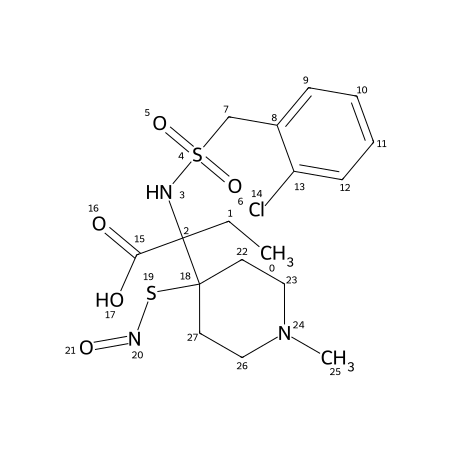 CCC(NS(=O)(=O)Cc1ccccc1Cl)(C(=O)O)C1(SN=O)CCN(C)CC1